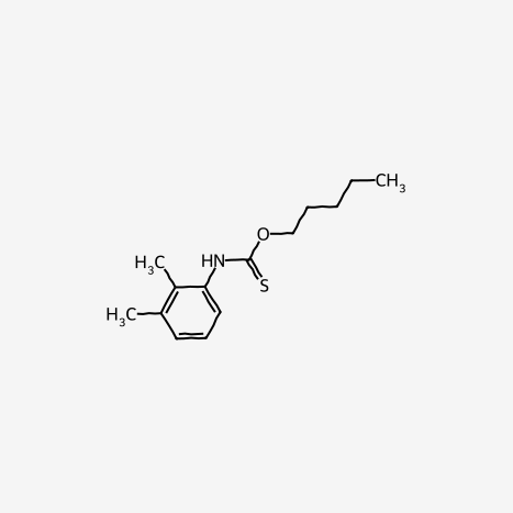 CCCCCOC(=S)Nc1cccc(C)c1C